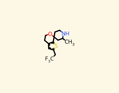 CC1CC2(CCN1)OCCc1cc(CC(F)(F)F)sc12